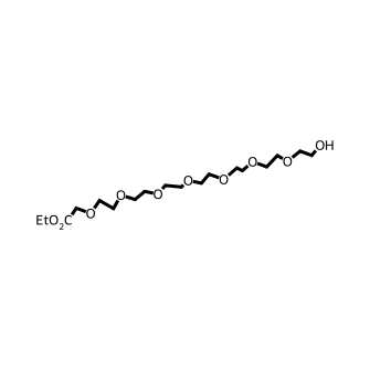 CCOC(=O)COCCOCCOCCOCCOCCOCCOCCO